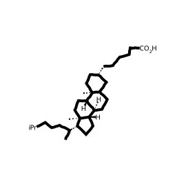 CC(C)CCCC(C)[C@H]1CC[C@H]2[C@@H]3CCC4C[C@@H](CCCCCC(=O)O)CC[C@]4(C)[C@H]3CC[C@]12C